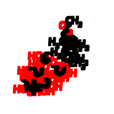 CCC(=O)[C@@H]1C[C@@H](C)[C@]2(CC[C@@]3(C)C4=C(CC[C@@]32C)[C@@]2(C)CC[C@H](O[C@@H]3O[C@H](CO[C@@H]5OC[C@H](O)[C@H](O)[C@H]5O[C@@H]5O[C@H](CO)[C@@H](O)[C@H](O[C@@H]6O[C@H](CO)[C@@H](O)[C@H](O)[C@H]6O)[C@H]5O[C@@H]5O[C@@H](C)[C@H](O)[C@@H](O)[C@H]5O)[C@@H](O)[C@H](O)[C@H]3O)C(C)(C)[C@@H]2CC4)O1